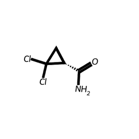 NC(=O)[C@H]1CC1(Cl)Cl